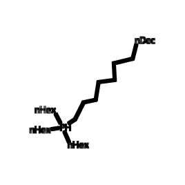 CCCCCCCCCCCCCCCCC[PH](CCCCCC)(CCCCCC)CCCCCC